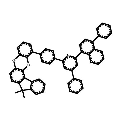 CC1(C)c2ccccc2-c2c1ccc1c2Oc2c(cccc2-c2ccc(-c3cc(-c4ccccc4)cc(-c4ccc(-c5ccccc5)c5ccccc45)n3)cc2)O1